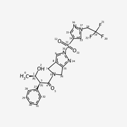 C[C@@H](O)[C@@H](C(=O)N1Cc2cn(S(=O)(=O)c3cnn(CC(F)(F)F)c3)nc2C1)c1ccccc1